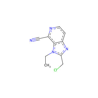 CCn1c(CCl)nc2ccnc(C#N)c21